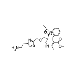 CCOC(=O)C1(COCc2nc(CCN)cs2)CNC(C)=C(C(=O)OC)C1c1ccccc1Cl